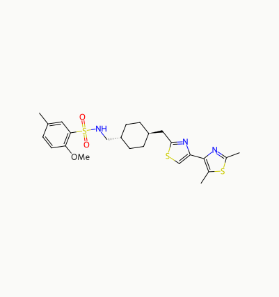 COc1ccc(C)cc1S(=O)(=O)NC[C@H]1CC[C@H](Cc2nc(-c3nc(C)sc3C)cs2)CC1